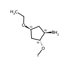 B[C@@H]1C[C@H](OCC)C[C@H]1OI